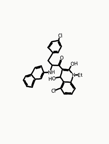 CCN1C(O)=C(C(=O)C(Cc2ccc(Cl)cc2)Nc2ccc3ccccc3c2)C(O)c2c(Cl)cccc21